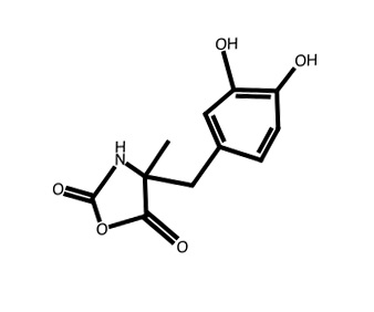 CC1(Cc2ccc(O)c(O)c2)NC(=O)OC1=O